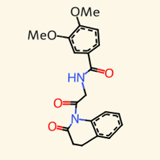 COc1ccc(C(=O)NCC(=O)N2C(=O)CCc3ccccc32)cc1OC